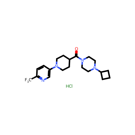 Cl.O=C(C1CCN(c2ccc(C(F)(F)F)nc2)CC1)N1CCN(C2CCC2)CC1